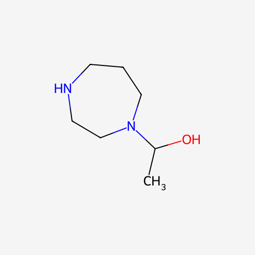 CC(O)N1CCCNCC1